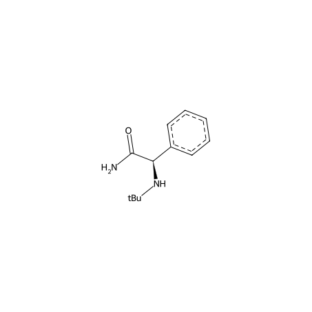 CC(C)(C)N[C@@H](C(N)=O)c1ccccc1